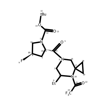 CCC1CN(C(=O)[C@@H]2C[C@@H](F)CN2C(=O)OC(C)(C)C)CC2(CC2)N1C(=O)C(F)(F)F